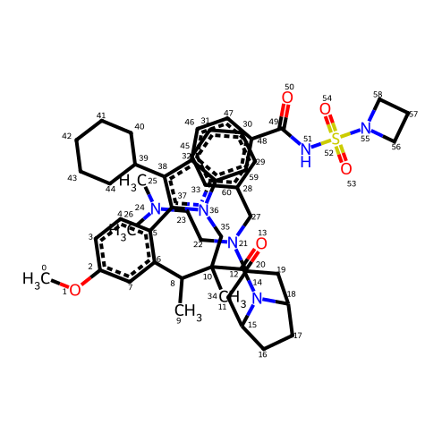 COc1ccc2c(c1)C(C)C(C)(C(=O)N1C3CCC1CC(N(CCN(C)C)Cc1ccccc1)C3)Cn1c-2c(C2CCCCC2)c2ccc(C(=O)NS(=O)(=O)N3CCC3)cc21